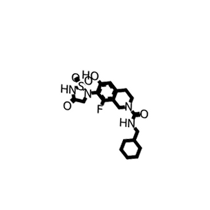 O=C1CN(c2c(O)cc3c(c2F)CN(C(=O)NCC2CCCCC2)CC3)S(=O)(=O)N1